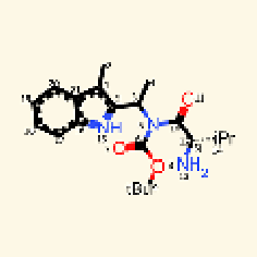 Cc1c(C(C)N(C(=O)OC(C)(C)C)C(=O)[C@@H](N)C(C)C)[nH]c2ccccc12